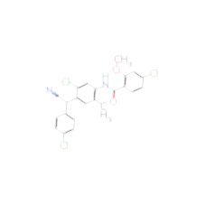 COc1cc(Cl)ccc1C(=O)Nc1cc(Cl)c(C(C#N)c2ccc(Cl)cc2)cc1C